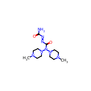 CN1CCN(N(C(=O)N=NC(N)=O)N2CCN(C)CC2)CC1